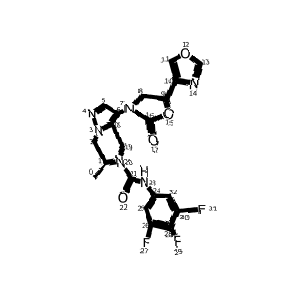 C[C@H]1Cn2ncc(N3CC(c4cocn4)OC3=O)c2CN1C(=O)Nc1cc(F)c(F)c(F)c1